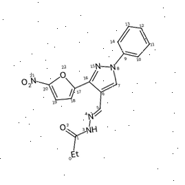 CCC(=O)N/N=C/c1cn(-c2ccccc2)nc1-c1ccc([N+](=O)[O-])o1